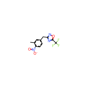 Cc1cc(Cc2noc(C(F)(F)F)n2)ccc1[N+](=O)[O-]